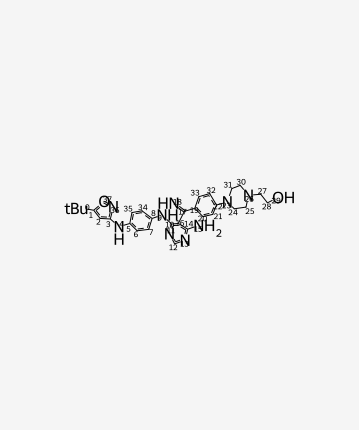 CC(C)(C)c1cc(Nc2ccc(Nc3ncnc(N)c3C(=N)c3ccc(N4CCN(CCO)CC4)cc3)cc2)no1